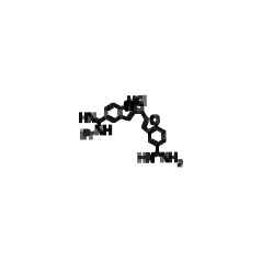 CC(C)NC(=N)c1ccc2oc(Cc3cc4cc(C(=N)N)ccc4o3)cc2c1.Cl.Cl